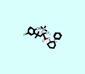 COc1ccc(F)cc1C(C)(C)CC(O[Si](C)(C)C)(C(=O)O[C@@H]1CCCC[C@H]1c1ccccc1)C(F)(F)F